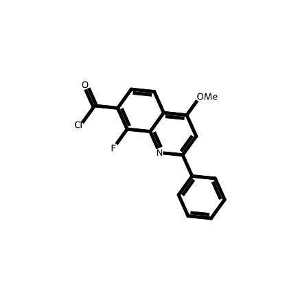 COc1cc(-c2ccccc2)nc2c(F)c(C(=O)Cl)ccc12